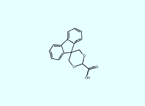 O=C(O)C1OCC2(CO1)c1ccccc1-c1ccccc12